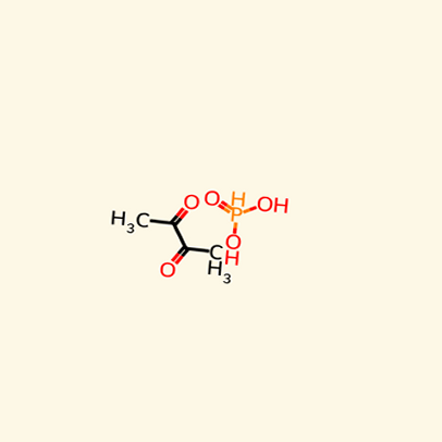 CC(=O)C(C)=O.O=[PH](O)O